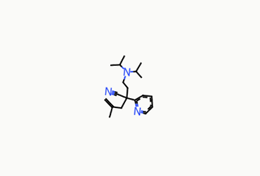 C=C(C)CC(C#N)(CCN(C(C)C)C(C)C)c1ccccn1